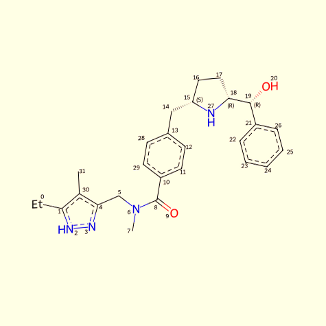 CCc1[nH]nc(CN(C)C(=O)c2ccc(C[C@@H]3CC[C@H]([C@H](O)c4ccccc4)N3)cc2)c1C